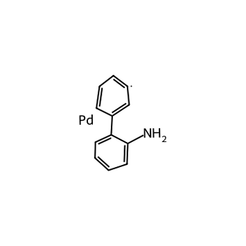 Nc1ccccc1-c1c[c]ccc1.[Pd]